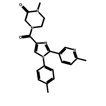 Cc1ccc(-n2cc(C(=O)N3CCN(C)C(=O)C3)nc2-c2ccc(C)nc2)cc1